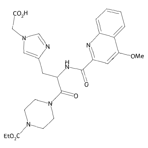 CCOC(=O)N1CCN(C(=O)C(Cc2cn(CC(=O)O)cn2)NC(=O)c2cc(OC)c3ccccc3n2)CC1